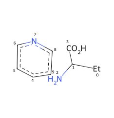 CCC(N)C(=O)O.c1ccncc1